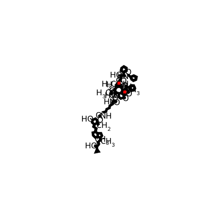 C=C1/C(=C\C=C2/CCC[C@@]3(C)C2CCC3[C@@H](C)/C=C/C(O)C2CC2)C[C@@H](O)C[C@@H]1OC(=O)NCCCCCCNC(=O)OC1CC2OCC2(OC(C)=O)C2C(OC(=O)c3ccccc3)C3(O)CC(OC(=O)C(O)C(NC(=O)c4ccccc4)c4ccccc4)C(C)=C(C(OC(C)=O)C(=O)C12C)C3(C)C